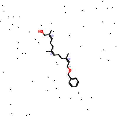 C/C(=C/CC/C(C)=C\CC/C(C)=C\COCc1ccccc1)CO